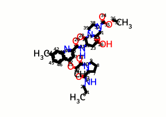 CCCNC(=O)C1CCCN1C(=O)[C@@H](C)Oc1cc(C(=O)NC(CC(=O)O)C(=O)N2CCN(C(=O)OCC)CC2)nc2cc(C)ccc12